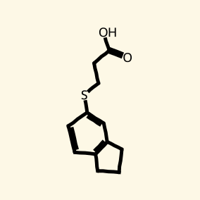 O=C(O)CCSc1ccc2c(c1)CCC2